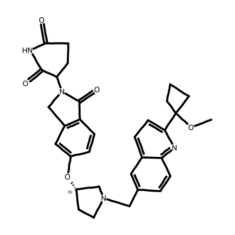 COC1(c2ccc3cc(CN4CC[C@H](Oc5ccc6c(c5)CN(C5CCC(=O)NC5=O)C6=O)C4)ccc3n2)CCC1